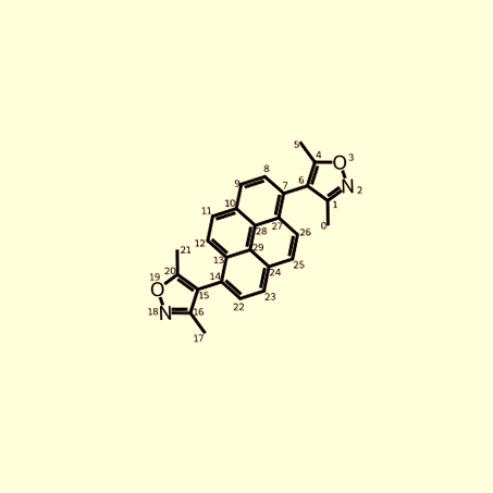 Cc1noc(C)c1-c1ccc2ccc3c(-c4c(C)noc4C)ccc4ccc1c2c43